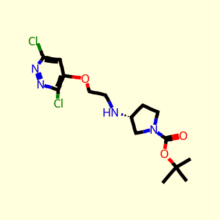 CC(C)(C)OC(=O)N1CC[C@@H](NCCOc2cc(Cl)nnc2Cl)C1